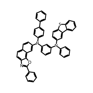 c1ccc(-c2ccc(N(c3cccc(N(c4ccccc4)c4ccc5sc6ccccc6c5c4)c3)c3ccc4ccc5nc(-c6ccccc6)oc5c4c3)cc2)cc1